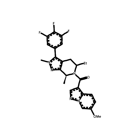 CCC1Cc2c(nn(C)c2-c2cc(F)c(F)c(F)c2)[C@H](C)N1C(=O)c1cnn2cc(OC)ccc12